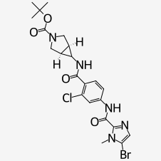 Cn1c(Br)cnc1C(=O)Nc1ccc(C(=O)NC2[C@H]3CN(C(=O)OC(C)(C)C)C[C@@H]23)c(Cl)c1